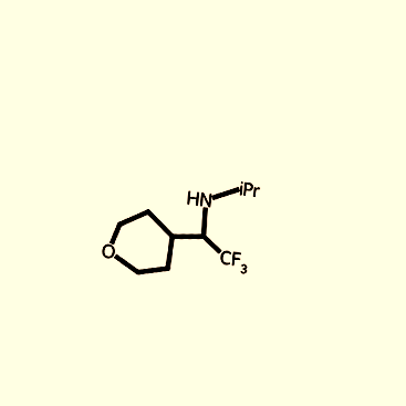 CC(C)NC(C1CCOCC1)C(F)(F)F